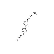 CCCCC[C@H]1CC[C@H](c2ccc(CC/C=C/F)cc2)CC1